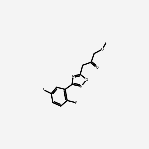 COCC(=O)Cc1nc(-c2cc(F)ccc2F)no1